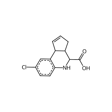 O=C(O)C1Nc2ccc(Cl)cc2C2C=CCC12